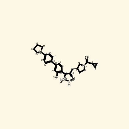 O=C(C1CC1)N1CC[C@@H](CC2=NN[NH+]([O-])C2c2ccc(-c3ccc(N4CCCC4)cc3)cc2F)C1